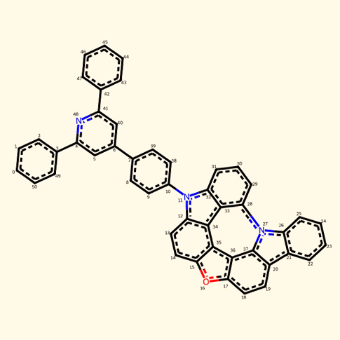 c1ccc(-c2cc(-c3ccc(-n4c5ccc6oc7ccc8c9ccccc9n9c%10cccc4c%10c5c6c7c89)cc3)cc(-c3ccccc3)n2)cc1